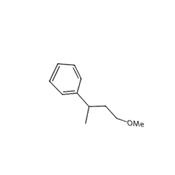 [CH2]OCCC(C)c1ccccc1